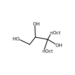 CCCCCCCCC(O)(CCCCCCCC)C(O)CO